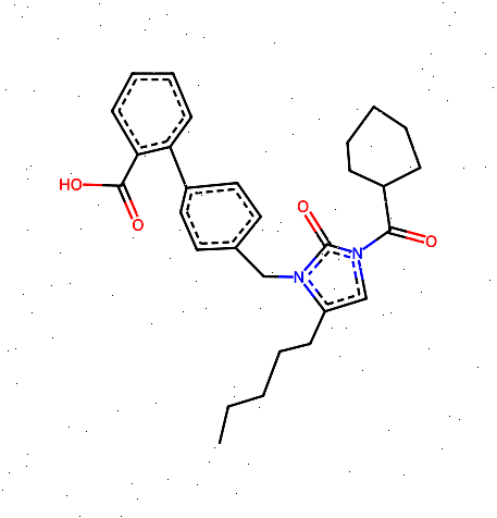 CCCCCc1cn(C(=O)C2CCCCC2)c(=O)n1Cc1ccc(-c2ccccc2C(=O)O)cc1